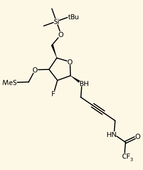 CSCOC1C(F)[C@H](BCC#CCNC(=O)C(F)(F)F)O[C@@H]1CO[Si](C)(C)C(C)(C)C